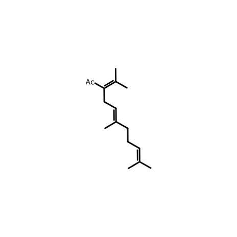 CC(=O)C(C/C=C(\C)CCC=C(C)C)=C(C)C